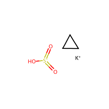 C1CC1.O=[S-](=O)O.[K+]